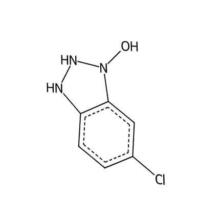 ON1NNc2ccc(Cl)cc21